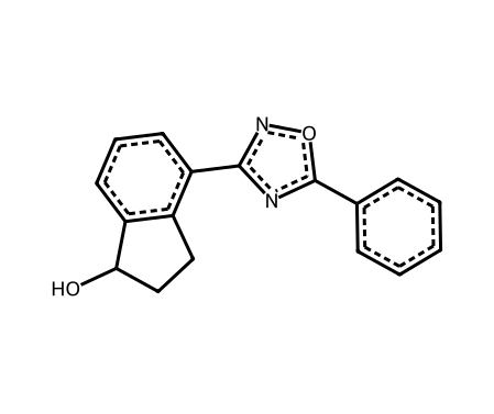 OC1CCc2c(-c3noc(-c4ccccc4)n3)cccc21